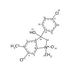 Cc1cc2c(cc1Cl)[N+](C)([O-])CC2(O)c1ccc(Cl)cc1